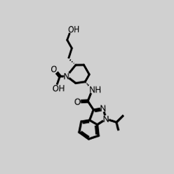 CC(C)n1nc(C(=O)N[C@H]2CC[C@@H](CCCO)N(C(=O)O)C2)c2ccccc21